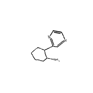 NC1CCCCC1c1cnccn1